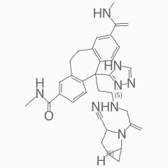 C=C(NC)c1ccc2c(c1)CCc1cc(C(=O)NC)ccc1C2(C[C@H](C)NCC(=C)N1C(C#N)C[C@@H]2CC21)c1nnc[nH]1